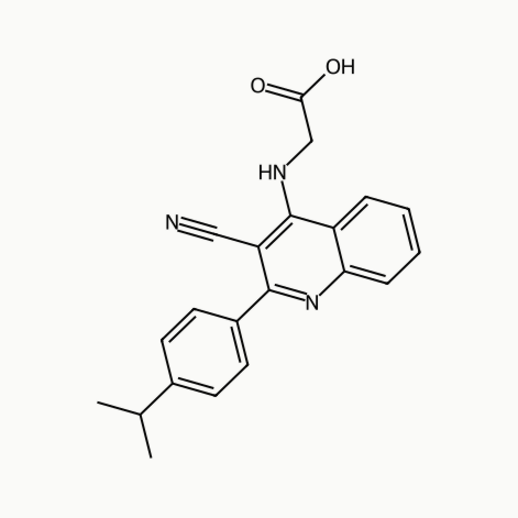 CC(C)c1ccc(-c2nc3ccccc3c(NCC(=O)O)c2C#N)cc1